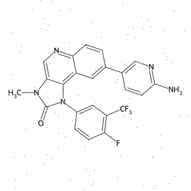 Cn1c(=O)n(-c2ccc(F)c(C(F)(F)F)c2)c2c3cc(-c4ccc(N)nc4)ccc3ncc21